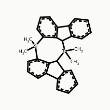 C[Si]1(C)c2cccc3c2[CH](c2ccccc2-3)[Ti]([CH3])([CH3])[CH]2c3ccccc3-c3cccc1c32